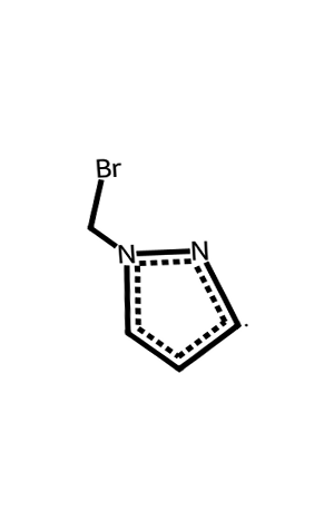 BrCn1cc[c]n1